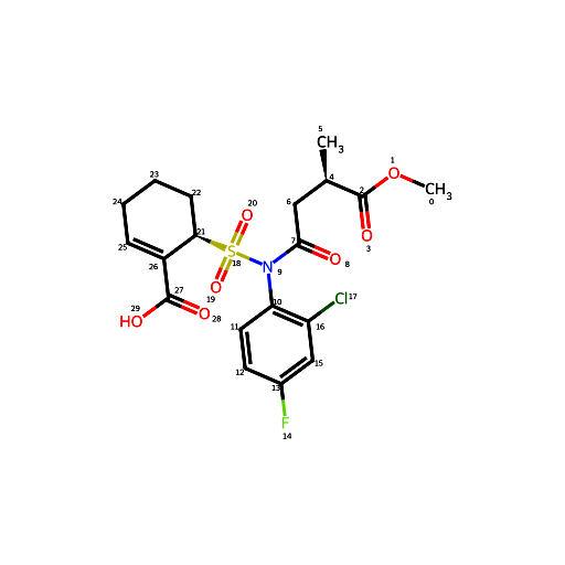 COC(=O)[C@H](C)CC(=O)N(c1ccc(F)cc1Cl)S(=O)(=O)[C@@H]1CCCC=C1C(=O)O